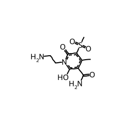 Cc1c(C(N)=O)c(O)n(CCN)c(=O)c1S(C)(=O)=O